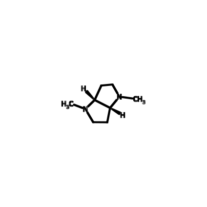 CN1CC[C@@H]2[C@H]1CCN2C